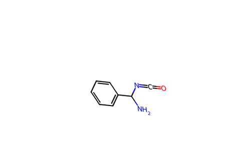 NC(N=C=O)c1ccccc1